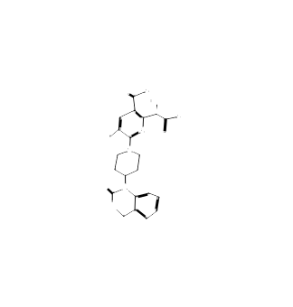 CC(C)[C@@H](C(N)=O)c1nc(N2CCC(N3C(=O)OCc4ccccc43)CC2)c(Cl)cc1C(N)=O